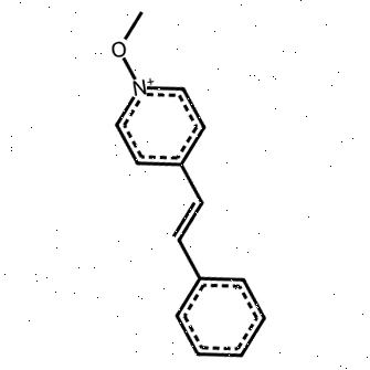 CO[n+]1ccc(/C=C/c2ccccc2)cc1